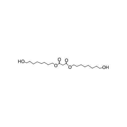 O=C(CC(=O)OCCCCCCCCO)OCCCCCCCCO